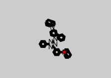 c1ccc(-c2nc(-c3cccc(N4C5CC6CC(C5)CC4C6)c3)nc(-n3c4ccccc4c4cc(N5C6CC7CC(C6)CC5C7)ccc43)n2)cc1